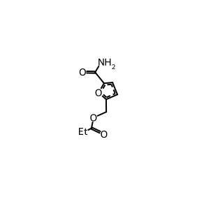 CCC(=O)OCc1ccc(C(N)=O)o1